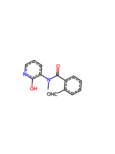 CN(C(=O)c1ccccc1C=O)c1cccnc1O